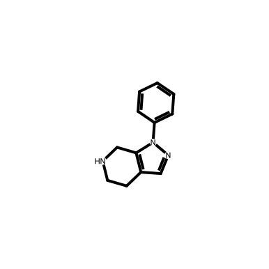 c1ccc(-n2ncc3c2CNCC3)cc1